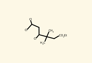 CCOC(=O)CC(C)(C)C(Cl)CC(Cl)Cl